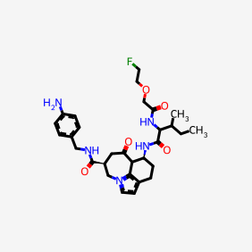 CCC(C)C(NC(=O)COCCF)C(=O)N[C@H]1CCc2ccn3c2C1C(=O)C[C@H](C(=O)NCc1ccc(N)cc1)C3